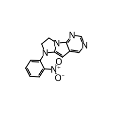 O=[N+]([O-])c1ccccc1N1CCn2c1cc1cncnc12